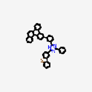 c1ccc(-c2nc(-c3cccc(-c4ccc5c(c4)c4ccccc4c4ccc6ccccc6c45)c3)nc(-c3ccc4sc5ccccc5c4c3)n2)cc1